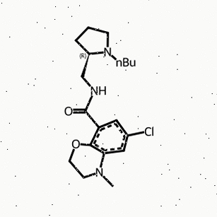 CCCCN1CCC[C@@H]1CNC(=O)c1cc(Cl)cc2c1OCCN2C